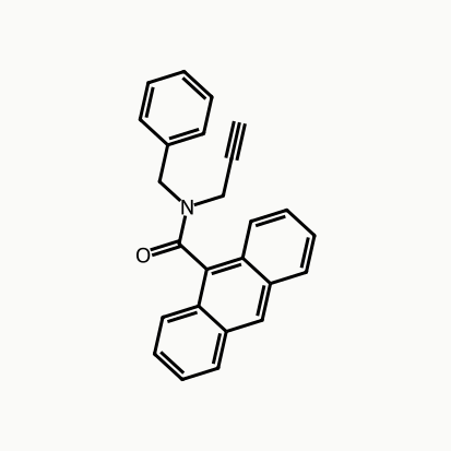 C#CCN(Cc1ccccc1)C(=O)c1c2ccccc2cc2ccccc12